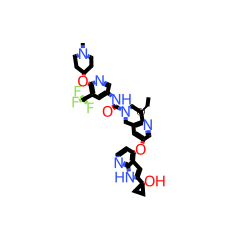 CC[C@@H]1CN(C(=O)Nc2cnc(OC3CCN(C)CC3)c(C(F)(F)F)c2)Cc2cc(Oc3ccnc4[nH]c(C5(O)CC5)cc34)cnc21